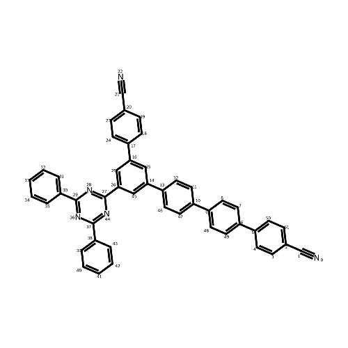 N#Cc1ccc(-c2ccc(-c3ccc(-c4cc(-c5ccc(C#N)cc5)cc(-c5nc(-c6ccccc6)nc(-c6ccccc6)n5)c4)cc3)cc2)cc1